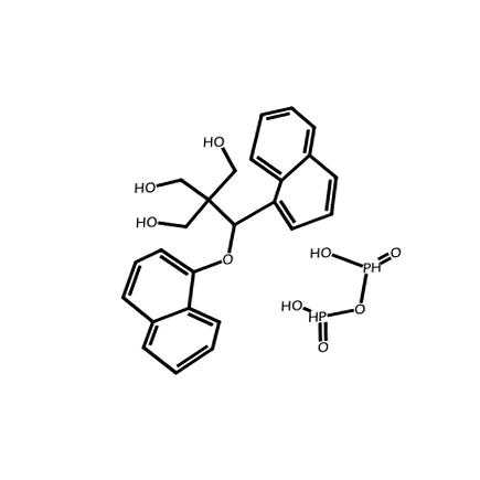 O=[PH](O)O[PH](=O)O.OCC(CO)(CO)C(Oc1cccc2ccccc12)c1cccc2ccccc12